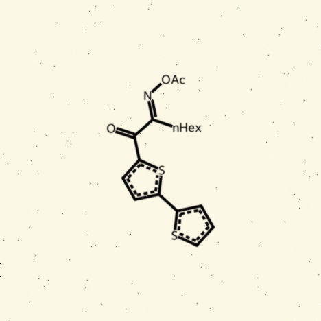 CCCCCC/C(=N\OC(C)=O)C(=O)c1ccc(-c2cccs2)s1